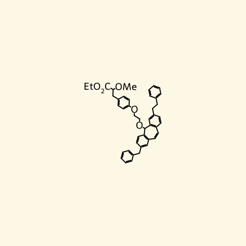 CCOC(=O)C(Cc1ccc(OCCOC2c3ccc(Cc4ccccc4)cc3C=Cc3ccc(CCc4ccccc4)cc32)cc1)OC